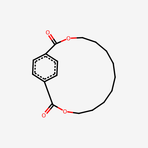 O=C1OCCCCCCCCCOC(=O)c2ccc1cc2